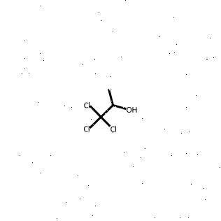 [CH2]C(O)C(Cl)(Cl)Cl